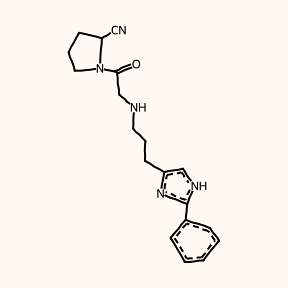 N#CC1CCCN1C(=O)CNCCCc1c[nH]c(-c2ccccc2)n1